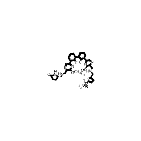 COc1nc(-c2cccc(-c3cccc(-c4cnc(CNC[C@@H]5CCC(=O)N5)c(OC)n4)c3Cl)c2Cl)cnc1CNCc1ccc(S(N)(=O)=O)s1